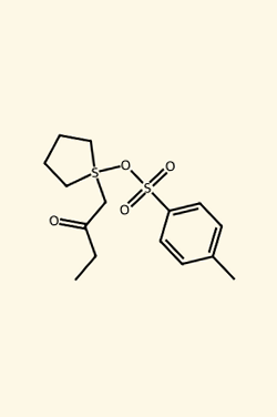 CCC(=O)CS1(OS(=O)(=O)c2ccc(C)cc2)CCCC1